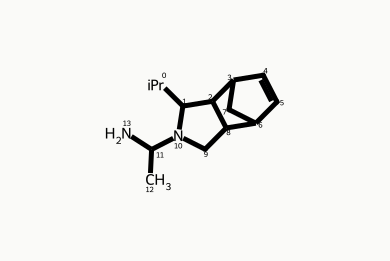 CC(C)C1C2C3C=CC(C3)C2CN1C(C)N